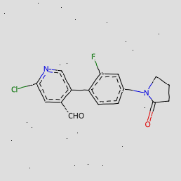 O=Cc1cc(Cl)ncc1-c1ccc(N2CCCC2=O)cc1F